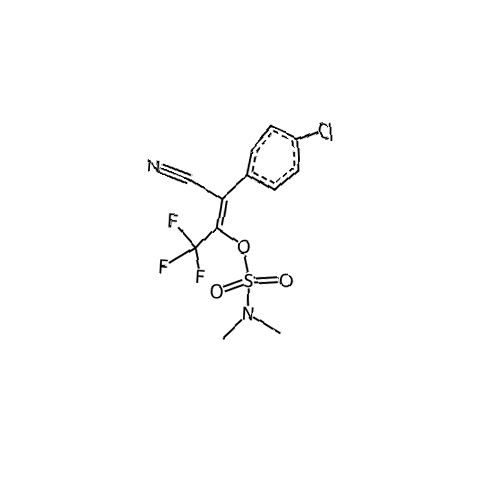 CN(C)S(=O)(=O)OC(=C(C#N)c1ccc(Cl)cc1)C(F)(F)F